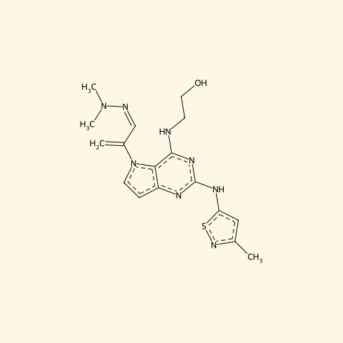 C=C(/C=N\N(C)C)n1ccc2nc(Nc3cc(C)ns3)nc(NCCO)c21